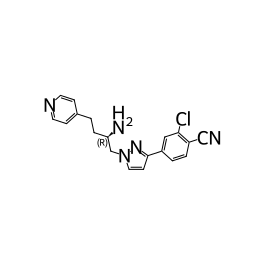 N#Cc1ccc(-c2ccn(C[C@H](N)CCc3ccncc3)n2)cc1Cl